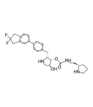 O=C(NCC[C@H]1CCCN1)O[C@@H]1[C@@H](O)CN[C@@H]1Cc1ccc(-c2ccc3c(c2)CC(F)(F)C3)cc1